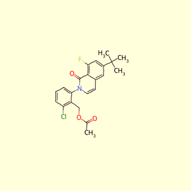 CC(=O)OCc1c(Cl)cccc1-n1ccc2cc(C(C)(C)C)cc(F)c2c1=O